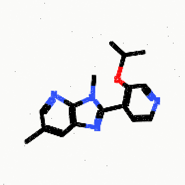 Cc1cnc2c(c1)nc(-c1ccncc1OC(C)C)n2C